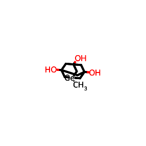 [CH3][Ge]12[CH2]C3(O)CC(O)(CC(O)(C3)[CH2]1)[CH2]2